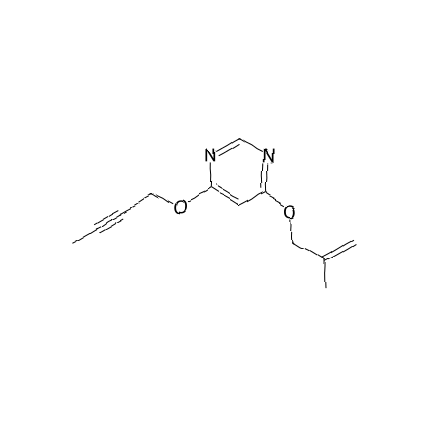 C=C(C)COc1cc(OCC#CC)ncn1